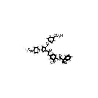 O=C(Nc1ccc(CC(=O)N2C[C@@H](N3CCN(CC(F)(F)F)CC3)C[C@H]2CO[C@H]2CC[C@H](C(=O)O)CC2)cc1Cl)c1csc2ccccc12